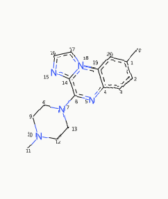 Cc1ccc2nc(N3CCN(C)CC3)c3nccn3c2c1